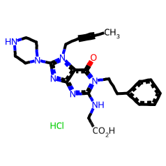 CC#CCn1c(N2CCNCC2)nc2nc(NCC(=O)O)n(CCc3ccccc3)c(=O)c21.Cl